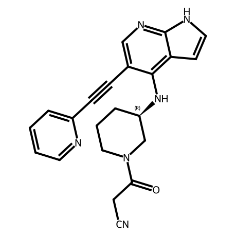 N#CCC(=O)N1CCC[C@@H](Nc2c(C#Cc3ccccn3)cnc3[nH]ccc23)C1